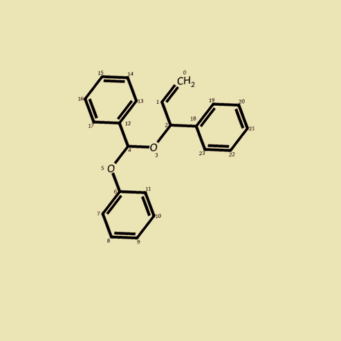 C=CC(OC(Oc1ccccc1)c1ccccc1)c1ccccc1